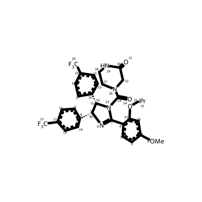 COc1ccc(C2=N[C@H](c3ccc(C(F)(F)F)cc3)[C@H](c3ccc(C(F)(F)F)cc3)N2C(=O)N2CCNC(=O)C2)c(OC(C)C)c1